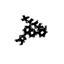 C=C(OC(C)(C)C)N(C(=C)OC(C)(C)C)c1ncc(B2OC(C)C(C)O2)c2ccc(-c3cccc(F)c3)nc12